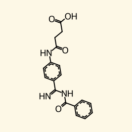 N=C(NC(=O)c1ccccc1)c1ccc(NC(=O)CCC(=O)O)cc1